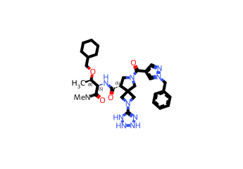 CNC(=O)[C@@H](NC(=O)[C@@H]1CN(C(=O)c2cnn(Cc3ccccc3)c2)CC12CN(C1=NNNN1)C2)[C@@H](C)OCC1CCCCC1